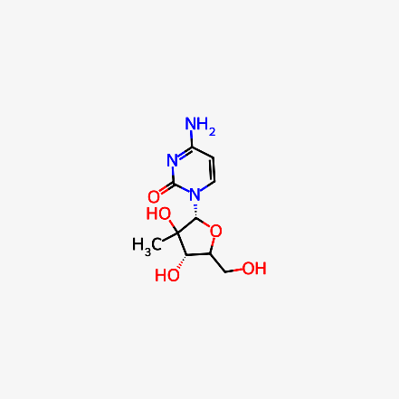 CC1(O)[C@@H](O)C(CO)O[C@H]1n1ccc(N)nc1=O